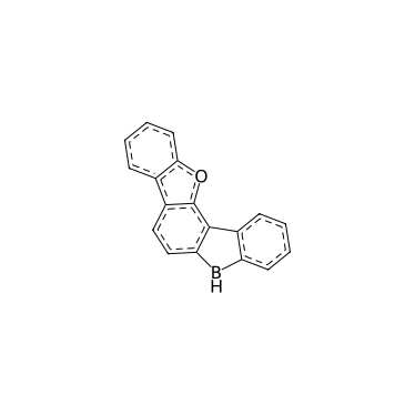 B1c2ccccc2-c2c1ccc1c2oc2ccccc21